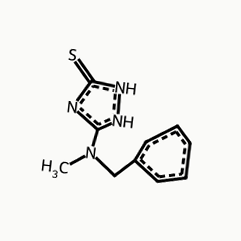 CN(Cc1ccccc1)c1nc(=S)[nH][nH]1